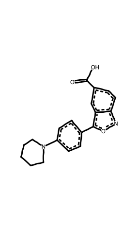 O=C(O)c1ccc2noc(-c3ccc(N4CCCCC4)cc3)c2c1